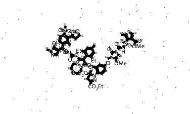 CCOC(=O)C1=NN(c2ccc(Cl)cc2Cl)C(C)(C(=O)OCC)C1.CCc1cc(C)cc(CC)c1-c1c(OC(=O)C(C)(C)C)n2n(c1=O)CCOCC2.COC(=O)c1csc(C)c1S(=O)(=O)NC(=O)n1nc(OC)n(C)c1=O.Cc1c(C(=O)c2cnn(C)c2O)ccc(S(C)(=O)=O)c1C1=NOCC1